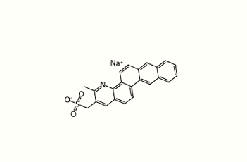 Cc1nc2c(ccc3c4cc5ccccc5cc4ccc32)cc1CS(=O)(=O)[O-].[Na+]